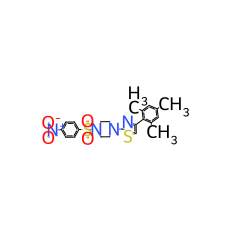 Cc1cc(C)c(-c2csc(N3CCN(S(=O)(=O)c4ccc([N+](=O)[O-])cc4)CC3)n2)c(C)c1